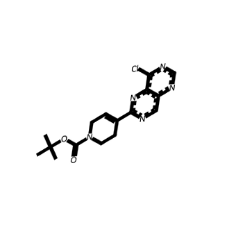 CC(C)(C)OC(=O)N1CC=C(c2ncc3ncnc(Cl)c3n2)CC1